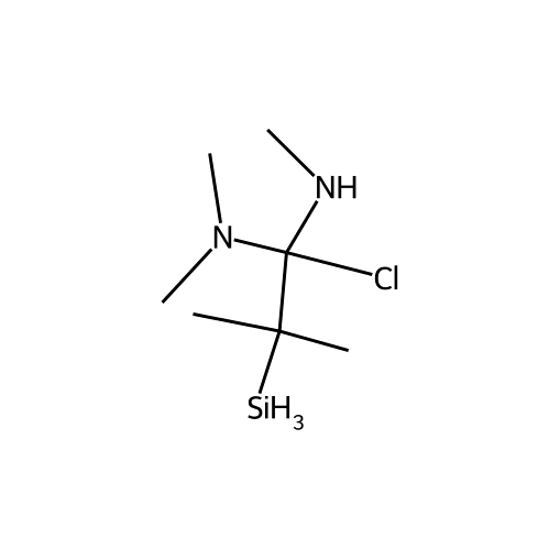 CNC(Cl)(N(C)C)C(C)(C)[SiH3]